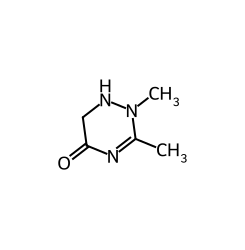 CC1=NC(=O)CNN1C